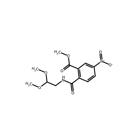 COC(=O)c1cc([N+](=O)[O-])ccc1C(=O)NCC(OC)OC